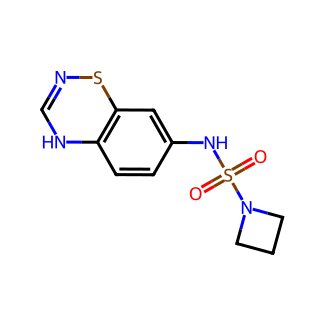 O=S(=O)(Nc1ccc2c(c1)SN=CN2)N1CCC1